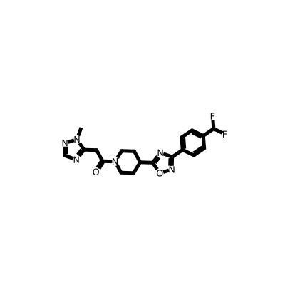 Cn1ncnc1CC(=O)N1CCC(c2nc(-c3ccc(C(F)F)cc3)no2)CC1